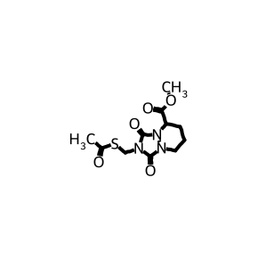 COC(=O)C1CCCn2c(=O)n(CSC(C)=O)c(=O)n21